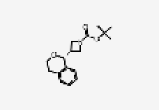 CC(C)(C)OC(=O)N1CC([C@H]2OCCc3ccccc32)C1